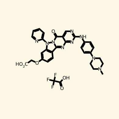 CN1CCN(c2ccc(Nc3ncc4c(=O)n5c(nc4n3)c3ccc(OCC(=O)O)cc3n5-c3ccccn3)cc2)CC1.O=C(O)C(F)(F)F